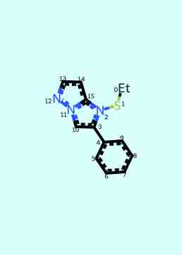 CCSn1c(-c2ccccc2)cn2nccc12